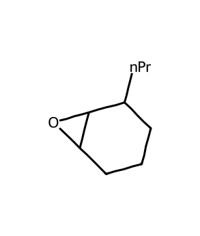 [CH2]CCC1CCCC2OC12